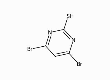 Sc1nc(Br)cc(Br)n1